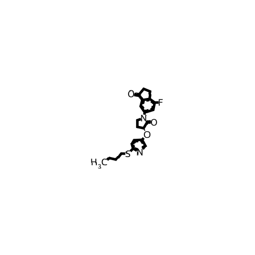 CCCCSc1ccc(O[C@@H]2CCN(c3cc(F)c4c(c3)C(=O)CC4)C2=O)cn1